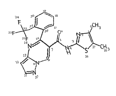 Cc1nc(NC(=O)c2cn3nccc3nc2-c2ccccc2C(F)(F)F)sc1C